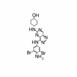 Nc1c(Br)cc(Nc2ncnc3cnc(N[C@H]4CC[C@H](O)CC4)nc23)cc1Br